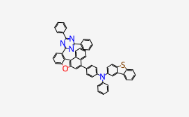 c1ccc(-c2nc(-c3ccccc3)nc(-c3cccc4oc5cc(-c6ccc(N(c7ccccc7)c7ccc8sc9ccccc9c8c7)cc6)c6ccccc6c5c34)n2)cc1